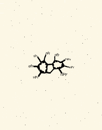 CCCc1c2c(c(CCC)c(CCC)c1CCC)-c1c(c(CCC)c(CCC)c(CCC)c1CCC)[CH]2